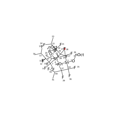 CCCCCCCC[O][Sn]([O][Sn]([O]CCCCCCCC)([C](F)(F)C(F)(F)C(C)F)[C](F)(F)C(F)(F)C(C)F)([C](F)(F)C(F)(F)C(C)F)[C](F)(F)C(F)(F)C(C)F